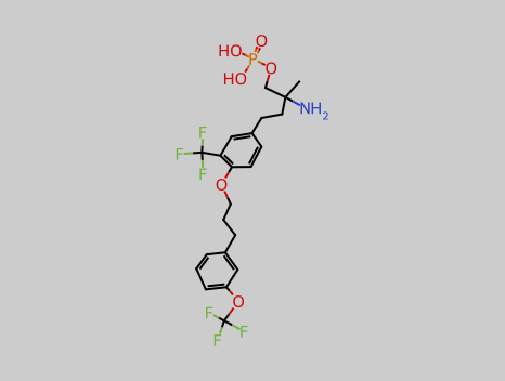 CC(N)(CCc1ccc(OCCCc2cccc(OC(F)(F)F)c2)c(C(F)(F)F)c1)COP(=O)(O)O